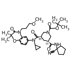 COCCCN1C(=O)C(C)(C)Oc2ccc(N(C(=O)[C@@H]3C[C@H](C(=O)NC4(C#N)CCCC4)CN(C(=O)OC(C)(C)C)C3)C3CC3)cc21